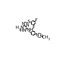 CN1CCN(c2ccc(CNC(=N)c3nc(Sc4cc(F)cc(F)c4)cnc3N)cc2)CC1